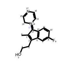 CC1=C(CCO)c2cc(F)ccc2/C1=[N+]1\C=CN=CC1